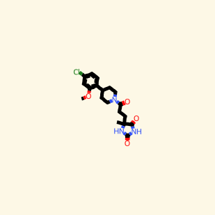 COc1cc(Cl)ccc1C1CCN(C(=O)CCC2(C)NC(=O)NC2=O)CC1